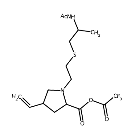 C=CC1CC(C(=O)OC(=O)C(F)(F)F)N(CCSCC(C)NC(C)=O)C1